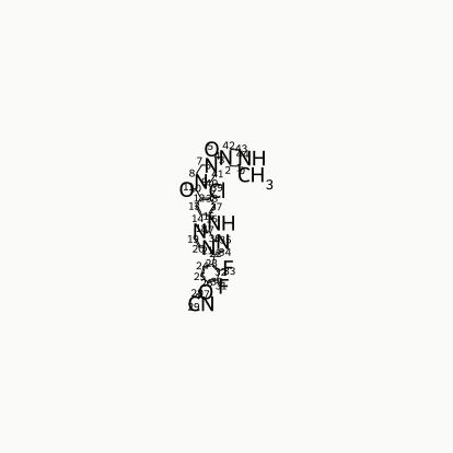 C[C@@H]1CN(C(=O)N2CCN(C(=O)c3ccc(Nc4nccn5c(-c6ccc(OCC#N)c(F)c6F)cnc45)cc3Cl)CC2)CCN1